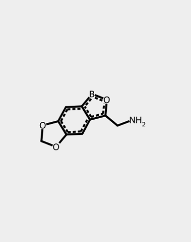 NCc1obc2cc3c(cc12)OCO3